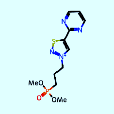 COP(=O)(CCC[n+]1cc(-c2ncccn2)sn1)OC